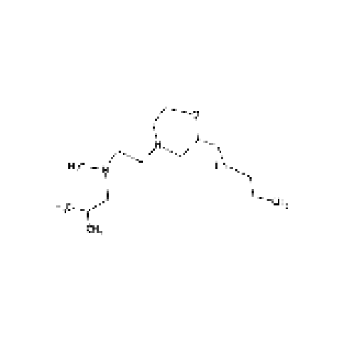 CCCNC[C@@H]1CN(CCN(C)CC(C)C)CCO1